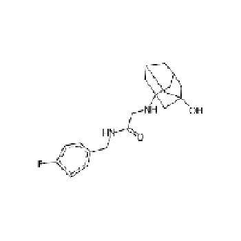 O=C(CNC12CC3CC(CC(O)(C3)C1)C2)NCc1ccc(F)cc1